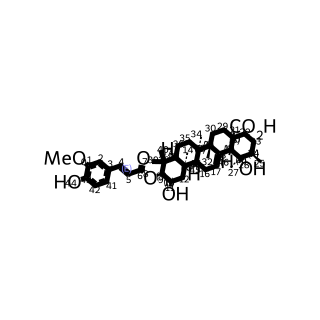 COc1cc(/C=C/C(=O)O[C@@H]2[C@H](O)C[C@]3(C)[C@H]4CC=C5[C@H]6[C@](C(=O)O)(CC[C@@H](C)[C@@]6(C)O)CC[C@@]5(C)[C@]4(C)CC[C@H]3C2(C)C)ccc1O